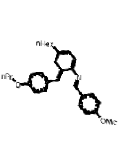 CCCCCCC1=CC=C(N=Cc2ccc(OC)cc2)C(=Cc2ccc(OCCC)cc2)C1